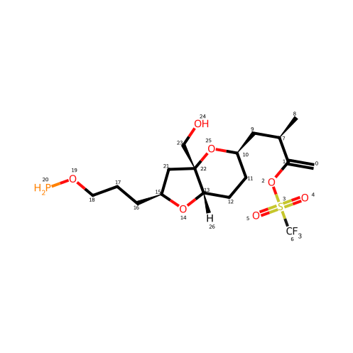 C=C(OS(=O)(=O)C(F)(F)F)[C@H](C)C[C@H]1CC[C@@H]2O[C@@H](CCCOP)C[C@]2(CO)O1